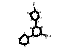 CC(C)(C)c1cc(-c2ccccc2)cc(-c2ccc(F)cc2)c1